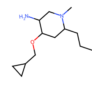 CCCC1CC(OCC2CC2)C(N)CN1C